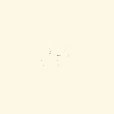 CCOC(=O)C1(C(F)(F)F)CCCCC1=O